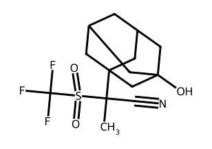 CC(C#N)(C12CC3CC(CC(O)(C3)C1)C2)S(=O)(=O)C(F)(F)F